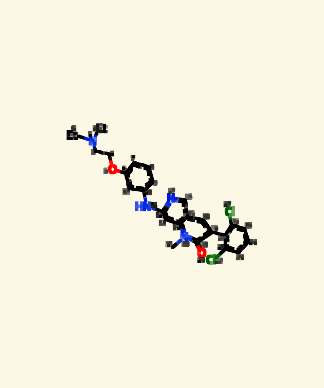 CCN(CC)CCOc1cccc(Nc2cc3c(cn2)cc(-c2c(Cl)cccc2Cl)c(=O)n3C)c1